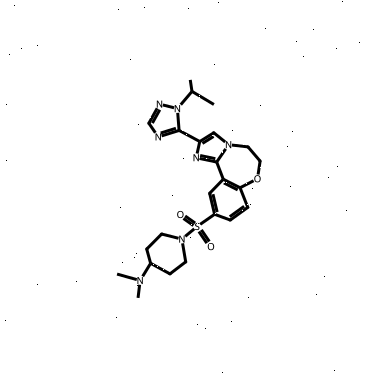 CC(C)n1ncnc1-c1cn2c(n1)-c1cc(S(=O)(=O)N3CCC(N(C)C)CC3)ccc1OCC2